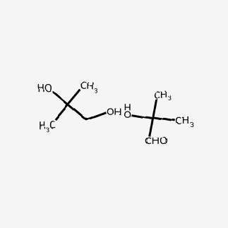 CC(C)(O)C=O.CC(C)(O)CO